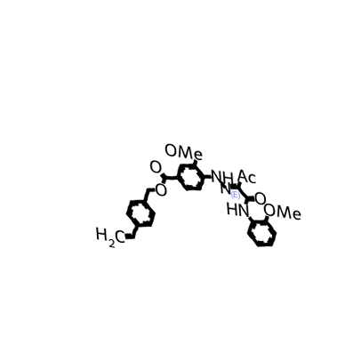 C=Cc1ccc(COC(=O)c2ccc(N/N=C(\C(C)=O)C(=O)Nc3ccccc3OC)c(OC)c2)cc1